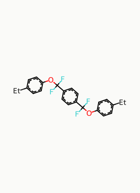 CCc1ccc(OC(F)(F)c2ccc(C(F)(F)Oc3ccc(CC)cc3)cc2)cc1